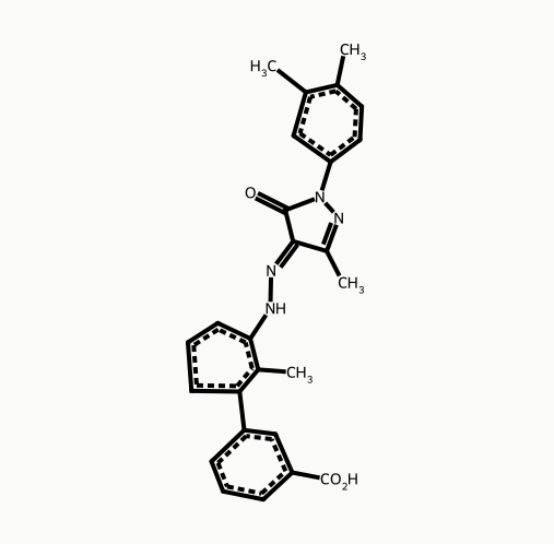 CC1=NN(c2ccc(C)c(C)c2)C(=O)/C1=N/Nc1cccc(-c2cccc(C(=O)O)c2)c1C